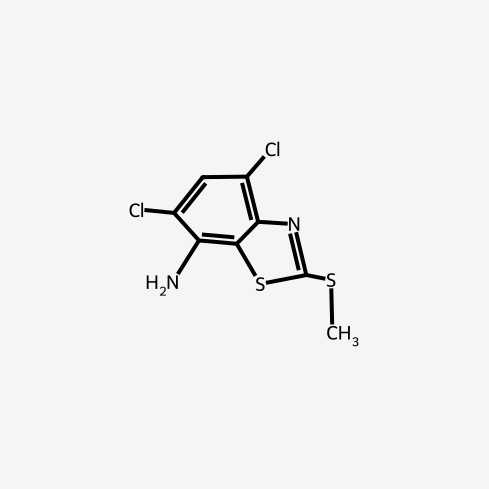 CSc1nc2c(Cl)cc(Cl)c(N)c2s1